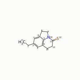 CCc1cc2c3c(c1)CCN3C(=S)CC2